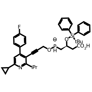 CC(C)c1nc(C2CC2)cc(-c2ccc(F)cc2)c1C#CCO[PH](=O)C[C@H](CC(=O)O)O[Si](c1ccccc1)(c1ccccc1)C(C)(C)C